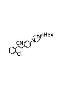 CCCCCCN1CCN(c2ccc(/C=C(\C#N)c3ccccc3Cl)cc2)CC1